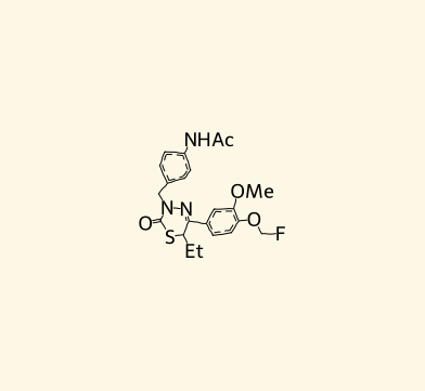 CCC1SC(=O)N(Cc2ccc(NC(C)=O)cc2)N=C1c1ccc(OCF)c(OC)c1